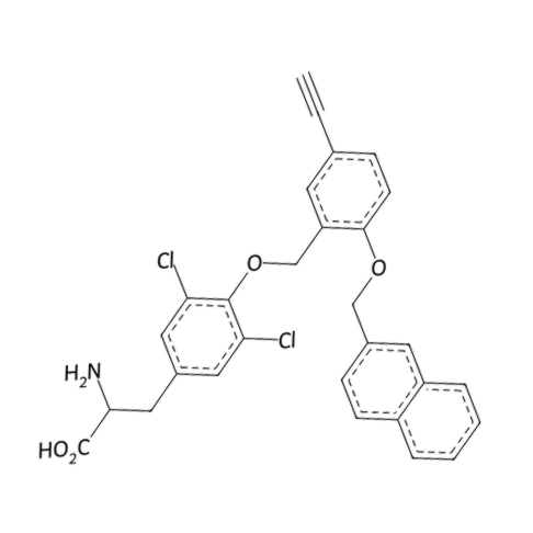 C#Cc1ccc(OCc2ccc3ccccc3c2)c(COc2c(Cl)cc(CC(N)C(=O)O)cc2Cl)c1